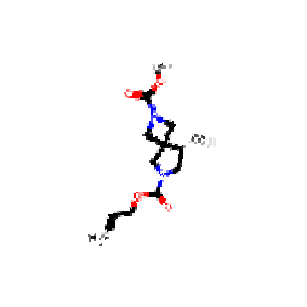 C=CCOC(=O)N1C[C@@H](C(=O)O)C2(C1)CN(C(=O)OC(C)(C)C)C2